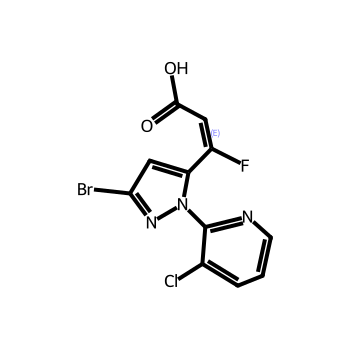 O=C(O)/C=C(/F)c1cc(Br)nn1-c1ncccc1Cl